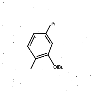 Cc1ccc(C(C)C)cc1OCC(C)C